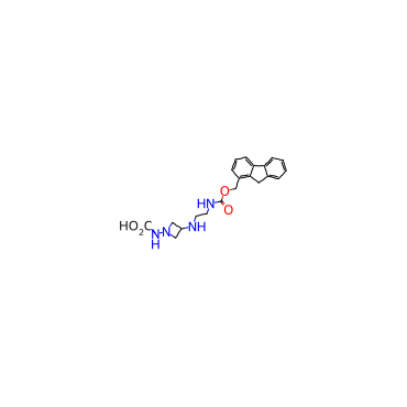 O=C(O)NN1CC(NCCNC(=O)OCc2cccc3c2Cc2ccccc2-3)C1